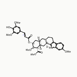 COC(=O)[C@H]1[C@H]2C[C@@H]3c4[nH]c5cc(OC)ccc5c4CCN3C[C@H]2C[C@@H](OC(=O)/C=C/c2cc(OC)c(O)c(OC)c2)[C@@H]1OC